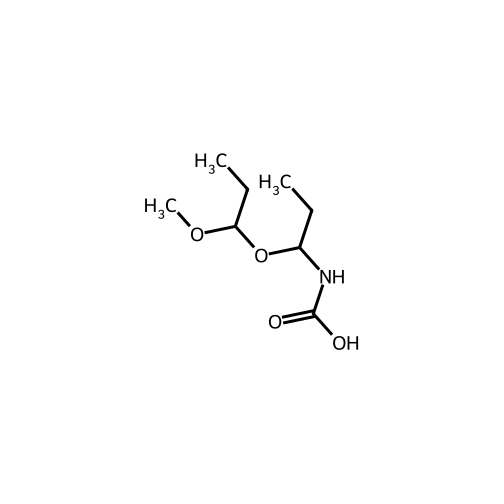 CCC(NC(=O)O)OC(CC)OC